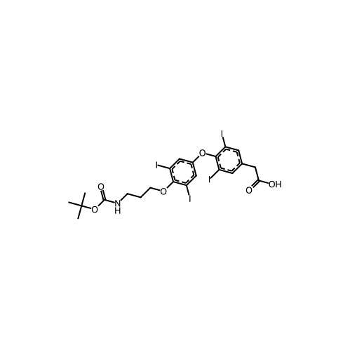 CC(C)(C)OC(=O)NCCCOc1c(I)cc(Oc2c(I)cc(CC(=O)O)cc2I)cc1I